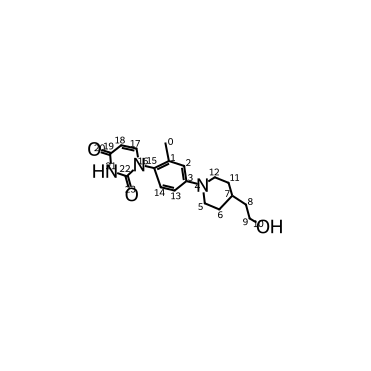 Cc1cc(N2CCC(CCO)CC2)ccc1-n1ccc(=O)[nH]c1=O